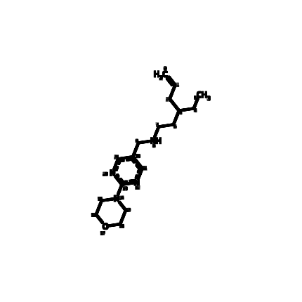 C=CCC(CC)CCNCc1cnc(N2CCOCC2)nc1